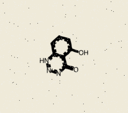 O=c1nn[nH]c2cccc(O)c12